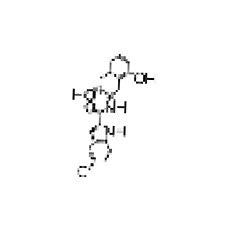 O=C(N[C@@H]1Cc2c(O)cccc2C[C@H]1O)c1cc2cc(Cl)ccc2[nH]1